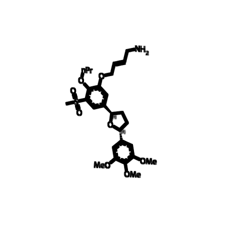 CCCOc1c(OCC=CCN)cc([C@H]2CC[C@H](c3cc(OC)c(OC)c(OC)c3)O2)cc1S(C)(=O)=O